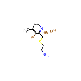 Br.Br.Cc1ccnc(CSCCN)c1Br